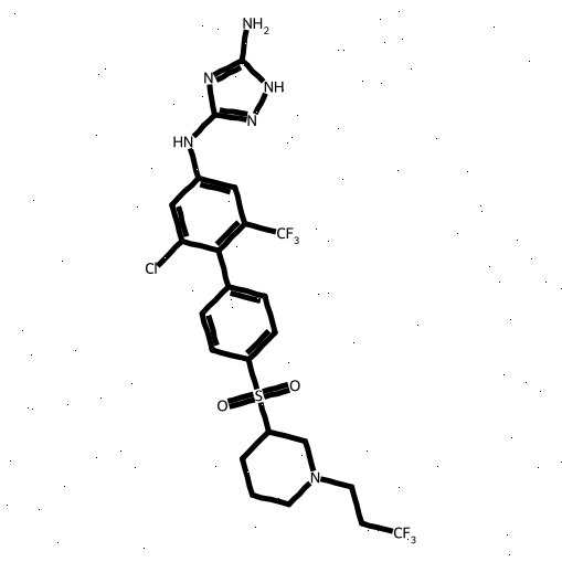 Nc1nc(Nc2cc(Cl)c(-c3ccc(S(=O)(=O)C4CCCN(CCC(F)(F)F)C4)cc3)c(C(F)(F)F)c2)n[nH]1